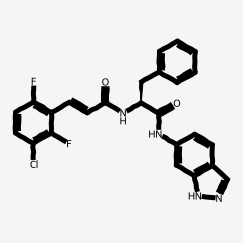 O=C(C=Cc1c(F)ccc(Cl)c1F)N[C@@H](Cc1ccccc1)C(=O)Nc1ccc2cn[nH]c2c1